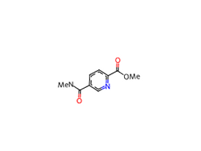 CNC(=O)c1ccc(C(=O)OC)nc1